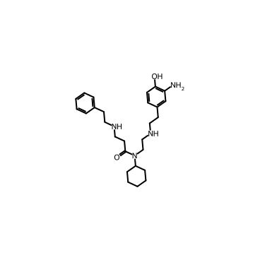 Nc1cc(CCNCCN(C(=O)CCNCCc2ccccc2)C2CCCCC2)ccc1O